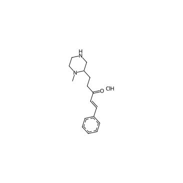 CN1CCNCC1CCC(=O)C=Cc1ccccc1.Cl